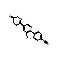 Cc1cc(C2=NNC(=O)CC2)ccc1-c1ccc(C#N)cc1